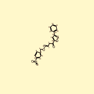 O=C(C/C=N/OCc1ccc([N+](=O)[O-])cc1)c1cc(-c2ccccc2)no1